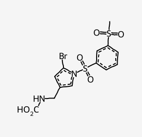 CS(=O)(=O)c1cccc(S(=O)(=O)n2cc(CNC(=O)O)cc2Br)c1